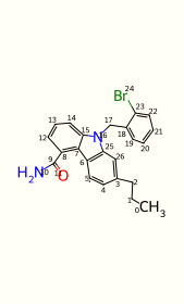 CCCc1c[c]c2c3c(C(N)=O)cccc3n(Cc3ccccc3Br)c2c1